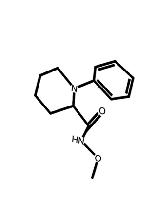 CONC(=O)C1CCCCN1c1ccccc1